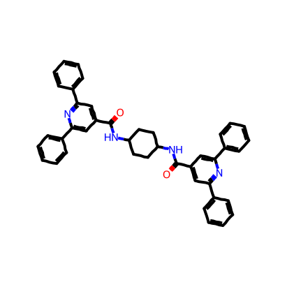 O=C(NC1CCC(NC(=O)c2cc(-c3ccccc3)nc(-c3ccccc3)c2)CC1)c1cc(-c2ccccc2)nc(-c2ccccc2)c1